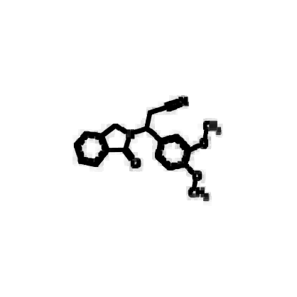 COc1ccc(C(CC#N)N2Cc3ccccc3C2=O)cc1OC